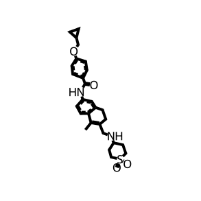 CC1=C(CNC2CCS(=O)(=O)CC2)CCc2cc(NC(=O)c3ccc(OCC4CC4)cc3)ccc21